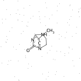 Cc1cn2c(=O)nc1NCC2